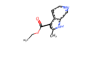 CCOC(=O)c1c(C)[nH]c2cnccc12